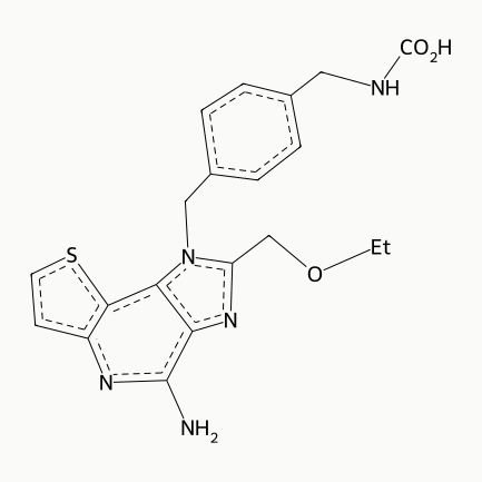 CCOCc1nc2c(N)nc3ccsc3c2n1Cc1ccc(CNC(=O)O)cc1